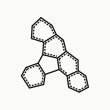 c1ccc2c(c1)-c1c3ccccc3cc3cc4ccccc4c-2c13